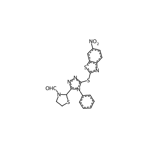 O=CN1CCSC1c1nnc(Sc2nc3ccc([N+](=O)[O-])cc3s2)n1-c1ccccc1